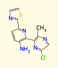 Cc1ncc(Cl)nc1-c1nc(-c2nccs2)ccc1N